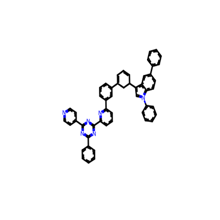 C1=CC(c2cn(-c3ccccc3)c3ccc(-c4ccccc4)cc23)CC(c2cccc(-c3cccc(-c4nc(-c5ccccc5)nc(-c5ccncc5)n4)n3)c2)=C1